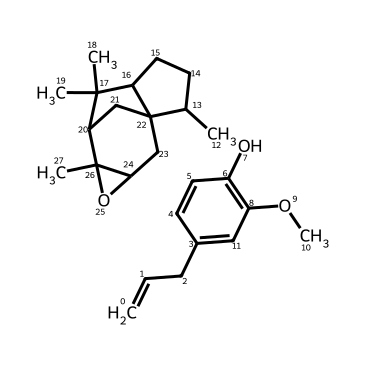 C=CCc1ccc(O)c(OC)c1.CC1CCC2C(C)(C)C3CC12CC1OC13C